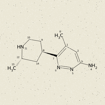 Cc1cc(N)nnc1[C@@H]1CCN[C@@H](C)C1